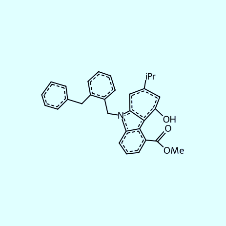 COC(=O)c1cccc2c1c1c(O)cc(C(C)C)cc1n2Cc1ccccc1Cc1ccccc1